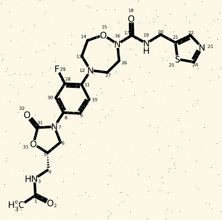 CC(=O)NC[C@H]1CN(c2ccc(N3CCON(C(=O)NCc4cncs4)CC3)c(F)c2)C(=O)O1